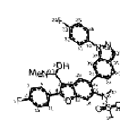 CNC(O)c1c(-c2ccc(F)cc2)oc2cc(N(C)S(C)(=O)=O)c(-c3ccc4cnn(-c5ccc(F)cc5)c4c3)cc12